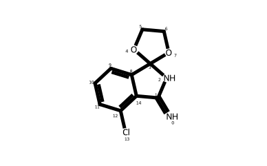 N=C1NC2(OCCO2)c2cccc(Cl)c21